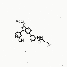 CC(=O)OCn1cc(-c2ccnc(C#N)c2)c2cc(-c3cncc(NC(=O)/C=C/CN(C)C)c3)cnc21